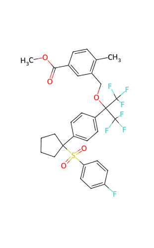 COC(=O)c1ccc(C)c(COC(c2ccc(C3(S(=O)(=O)c4ccc(F)cc4)CCCC3)cc2)(C(F)(F)F)C(F)(F)F)c1